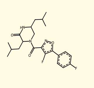 CC(C)CC1CN(C(=O)c2noc(-c3ccc(F)cc3)c2F)C(CC(C)C)C(=O)N1